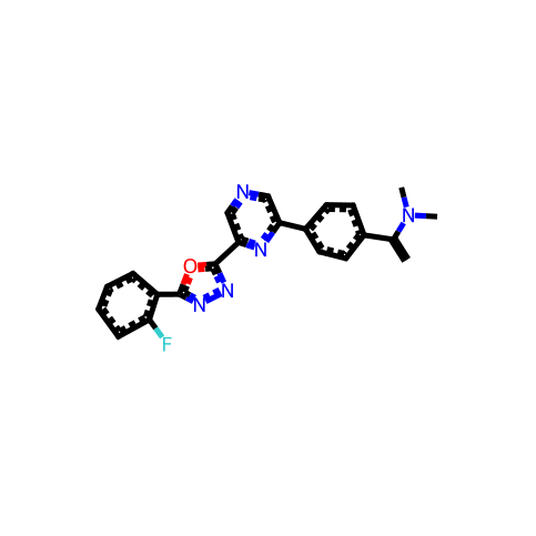 C=C(c1ccc(-c2cncc(-c3nnc(-c4ccccc4F)o3)n2)cc1)N(C)C